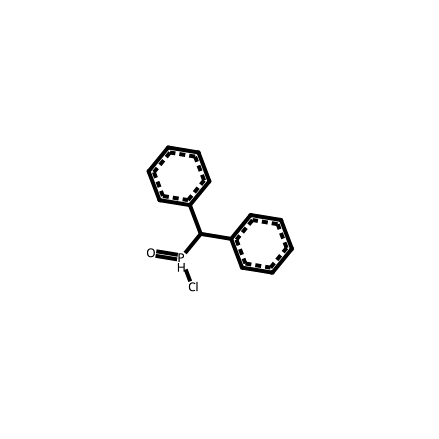 O=[PH](Cl)C(c1ccccc1)c1ccccc1